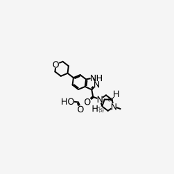 CN1C[C@@H]2C[C@H]1CN2C(=O)c1n[nH]c2cc(C3CCOCC3)ccc12.O=CO